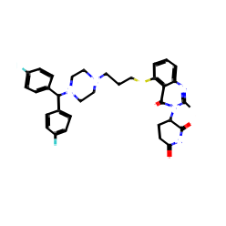 Cc1nc2cccc(SCCCN3CCN(C(c4ccc(F)cc4)c4ccc(F)cc4)CC3)c2c(=O)n1C1CCC(=O)NC1=O